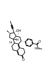 CC#C[C@]1(O)[C@H](C)C[C@H]2[C@@H]3CCC4=CC(=O)CCC4=C3[C@@H](c3ccc(C(=O)NC)cc3)C[C@@]21C